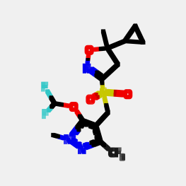 Cn1nc(C(F)(F)F)c(CS(=O)(=O)C2=NOC(C)(C3CC3)C2)c1OC(F)F